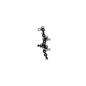 N#Cc1ccc(-c2ccc(C[C@H](NC(=O)C3Cc4cc5c(cc4CN3C(=O)OCC3CC3)O[C@@H](c3ccc(OCc4ccc(Cl)c(Cl)c4)cc3)C(=O)N5)C(=O)O)cc2)cc1